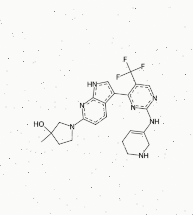 CC1(O)CCN(c2ccc3c(-c4nc(NC5=CCCNC5)ncc4C(F)(F)F)c[nH]c3n2)C1